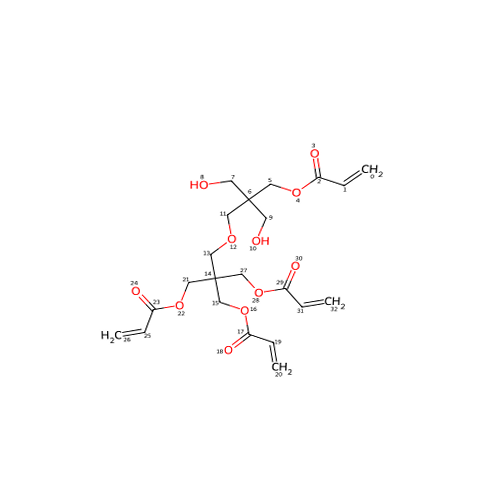 C=CC(=O)OCC(CO)(CO)COCC(COC(=O)C=C)(COC(=O)C=C)COC(=O)C=C